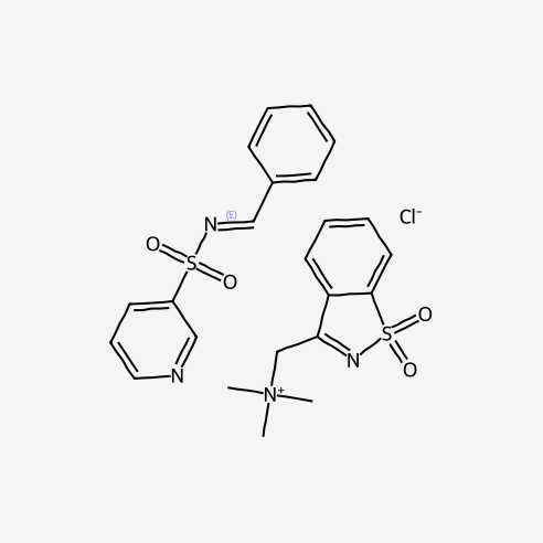 C[N+](C)(C)CC1=NS(=O)(=O)c2ccccc21.O=S(=O)(/N=C/c1ccccc1)c1cccnc1.[Cl-]